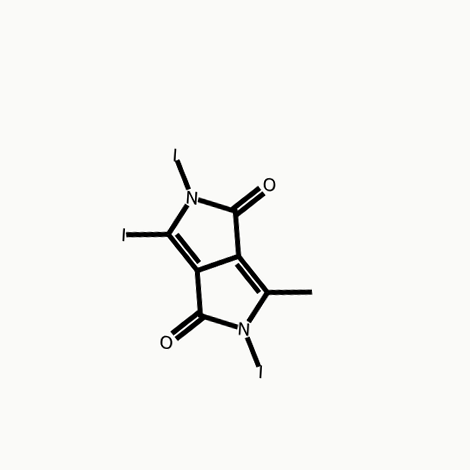 CC1=C2C(=O)N(I)C(I)=C2C(=O)N1I